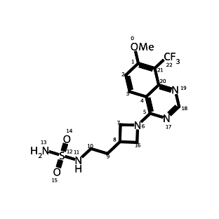 COc1ccc2c(N3CC(CCNS(N)(=O)=O)C3)ncnc2c1C(F)(F)F